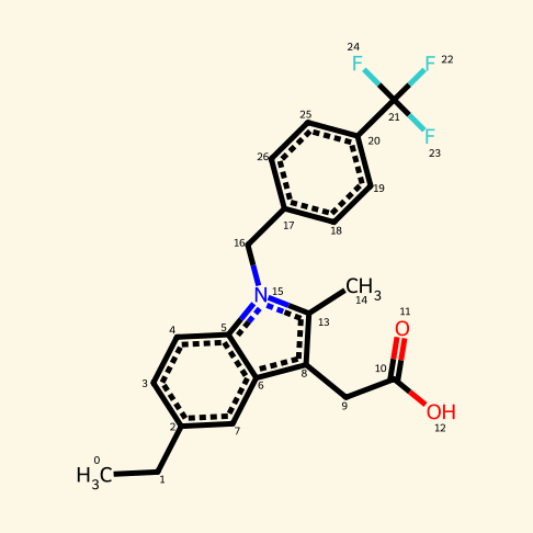 CCc1ccc2c(c1)c(CC(=O)O)c(C)n2Cc1ccc(C(F)(F)F)cc1